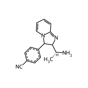 C[C@@H](N)C1N=C2C=CC=CN2C1c1ccc(C#N)cc1